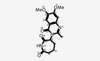 COc1cc2nc(C)n(C3CCCC(=O)NC3=O)c(=O)c2cc1OC